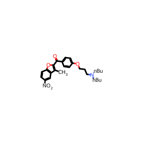 CCCCN(CCCC)CCCOc1ccc(C(=O)c2oc3ccc([N+](=O)[O-])cc3c2C)cc1